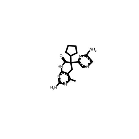 Cc1nc(N)nc2c1CC(c1cncc(N)n1)(C1CCCC1)C(=O)N2